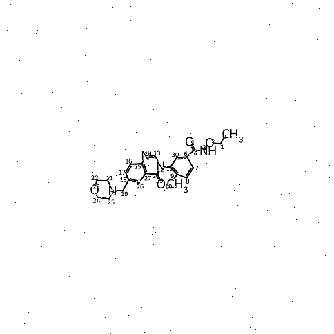 CCONC(=O)c1ccc(C)c(-n2cnc3ccc(CN4CCOCC4)cc3c2=O)c1